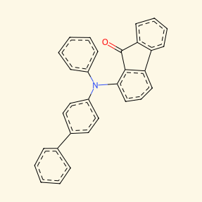 O=C1c2ccccc2-c2cccc(N(c3ccccc3)c3ccc(-c4ccccc4)cc3)c21